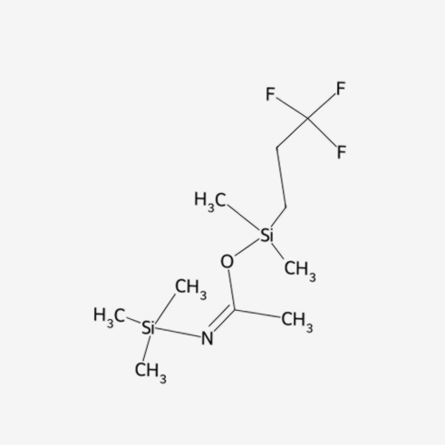 CC(=N[Si](C)(C)C)O[Si](C)(C)CCC(F)(F)F